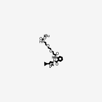 Cn1nc(NC(=O)c2ccccc2NC(=O)CCOCCOCCNC(=O)OC(C)(C)C)cc1C1CC1